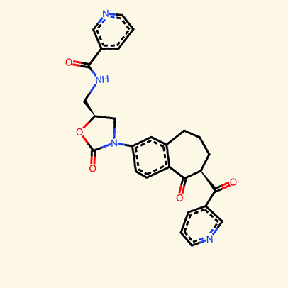 O=C(NC[C@H]1CN(c2ccc3c(c2)CCC[C@@H](C(=O)c2cccnc2)C3=O)C(=O)O1)c1cccnc1